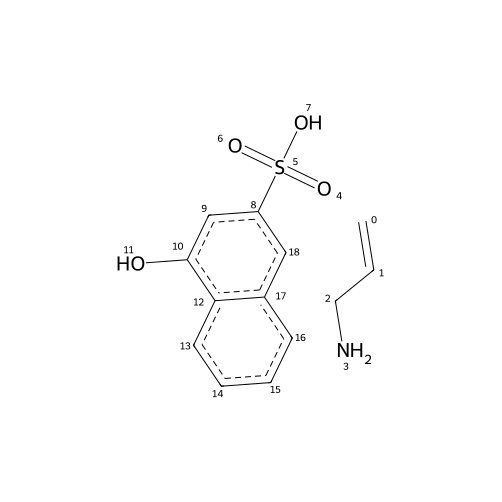 C=CCN.O=S(=O)(O)c1cc(O)c2ccccc2c1